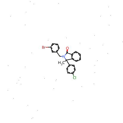 CC1(c2ccc(Cl)cc2)c2ccccc2C(=O)N1Cc1cccc(Br)c1